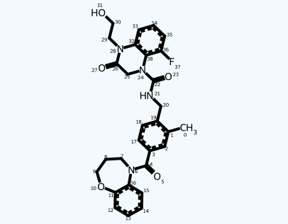 Cc1cc(C(=O)N2CCCOc3ccccc32)ccc1CNC(=O)N1CC(=O)N(CCO)c2cccc(F)c21